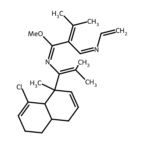 C=C/N=C\C(=C(C)C)/C(=N\C(=C(C)C)C1(C)C=CCC2CCC=C(Cl)C21)OC